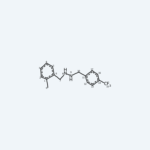 Cc1ccccc1CNNCc1ccc(C(F)(F)F)cc1